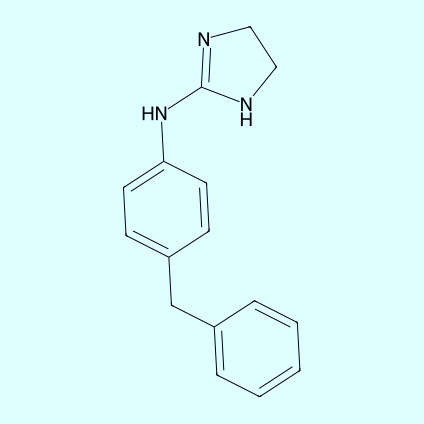 c1ccc(Cc2ccc(NC3=NCCN3)cc2)cc1